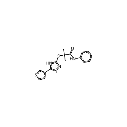 CC(C)(Sc1nnc(-c2ccsc2)[nH]1)C(=O)Nc1ccccc1